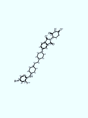 O=C1CCC(N2C(=O)c3ccc(N4CCN(CCC5CCC(Nc6ncc(Br)cc6F)CC5)CC4)cc3C2=O)C(=O)N1